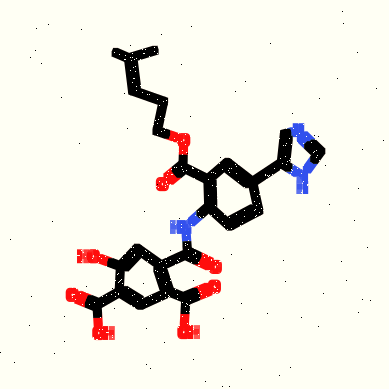 CC(C)=CCCOC(=O)c1cc(-c2cnc[nH]2)ccc1NC(=O)c1cc(O)c(C(=O)O)cc1C(=O)O